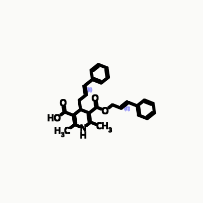 CC1=C(C(=O)O)C(C/C=C/c2ccccc2)C(C(=O)OC/C=C/c2ccccc2)=C(C)N1